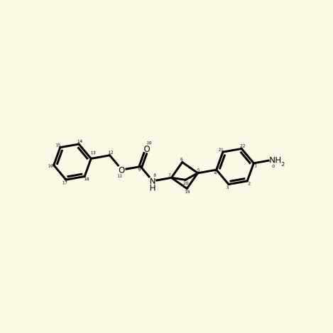 Nc1ccc(C23CC(NC(=O)OCc4ccccc4)(C2)C3)cc1